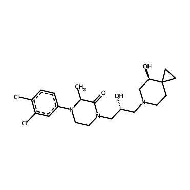 CC1C(=O)N(C[C@H](O)CN2CCC3(CC3)[C@H](O)C2)CCN1c1ccc(Cl)c(Cl)c1